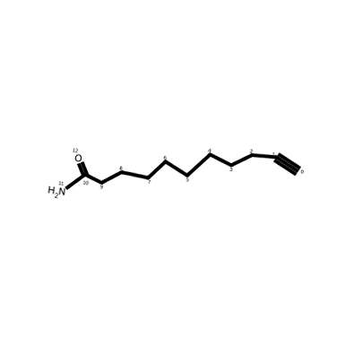 C#CCCCCCCCCC(N)=O